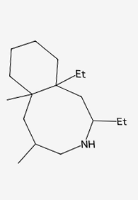 CCC1CC2(CC)CCCCC2(C)CC(C)CN1